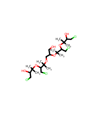 CC(C)(OC(CCl)C(C)(C)OCC(CO)OC(C)(C)C(CCl)OC(C)(C)C(O)CCl)C(O)CCl